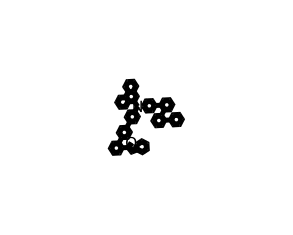 c1ccc(-c2ccccc2-c2ccccc2-c2ccc(N(c3ccc(-c4ccc(-c5ccccc5-c5cc6ccccc6o5)cc4)cc3)c3cc4ccccc4c4ccccc34)cc2)cc1